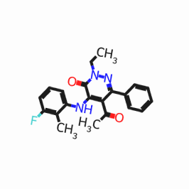 CCn1nc(-c2ccccc2)c(C(C)=O)c(Nc2cccc(F)c2C)c1=O